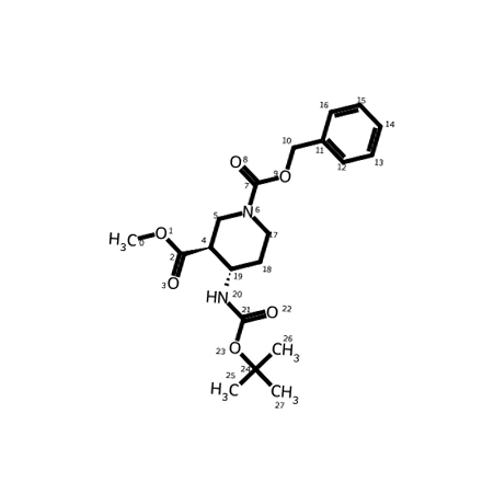 COC(=O)[C@H]1CN(C(=O)OCc2ccccc2)CC[C@@H]1NC(=O)OC(C)(C)C